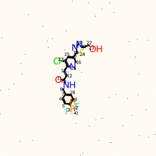 C[PH](F)(F)c1ccc(CNC(=O)/C=C/c2ncc(-c3nnc(CO)s3)cc2Cl)cc1